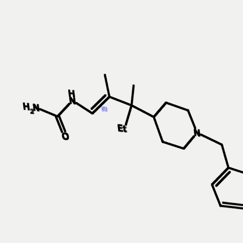 CCC(C)(/C(C)=C/NC(N)=O)C1CCN(Cc2ccccc2)CC1